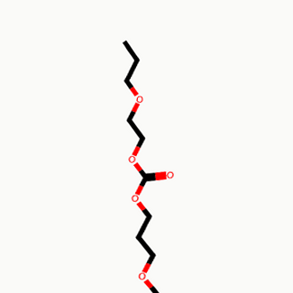 CCCOCCOC(=O)OCCCOC